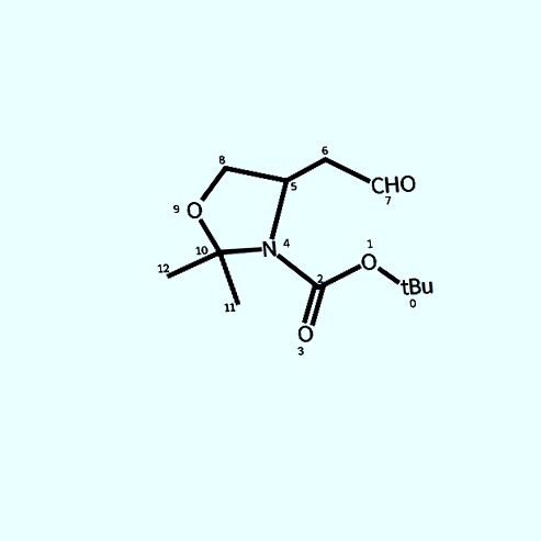 CC(C)(C)OC(=O)N1C(CC=O)COC1(C)C